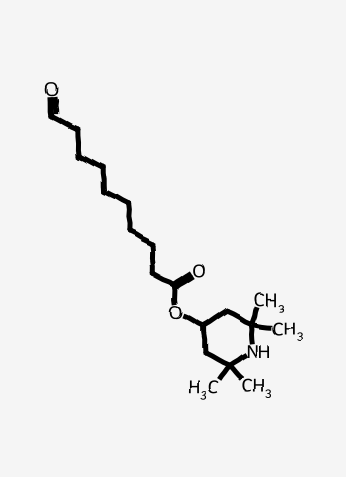 CC1(C)CC(OC(=O)CCCCCCCCC=O)CC(C)(C)N1